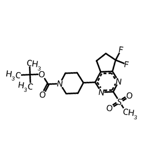 CC(C)(C)OC(=O)N1CCC(c2nc(S(C)(=O)=O)nc3c2CCC3(F)F)CC1